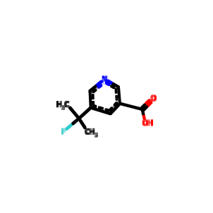 CC(C)(F)c1cncc(C(=O)O)c1